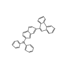 c1ccc(N(c2ccccc2)c2ccc3ccc(-c4cc5ccccc5c5ccccc45)cc3c2)cc1